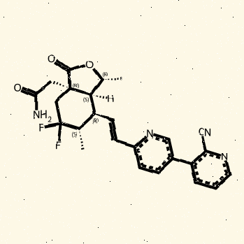 C[C@H]1OC(=O)[C@]2(CC(N)=O)CC(F)(F)[C@@H](C)[C@H](C=Cc3ccc(-c4cccnc4C#N)cn3)[C@H]12